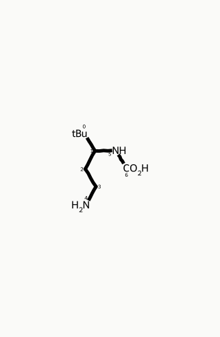 CC(C)(C)C(CCN)NC(=O)O